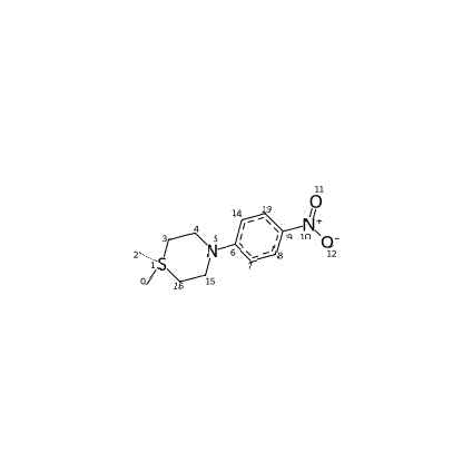 CS1(C)CCN(c2ccc([N+](=O)[O-])cc2)CC1